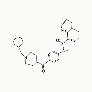 O=C(c1ccc(N[S+]([O-])c2cccc3cccnc23)cc1)N1CCN(CC2CCCC2)CC1